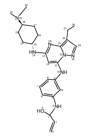 C=CC(O)Nc1cccc(Nc2cc(N[C@H]3CC[C@H](N(C)C)CC3)nc3c(CC)cnn23)c1